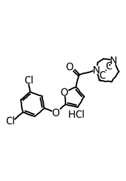 Cl.O=C(c1ccc(Oc2cc(Cl)cc(Cl)c2)o1)N1CCN2CCC1CC2